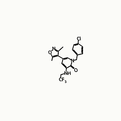 Cc1noc(C)c1-c1cc(NCC(F)(F)F)c(=O)n(Cc2ccc(Cl)cc2)c1